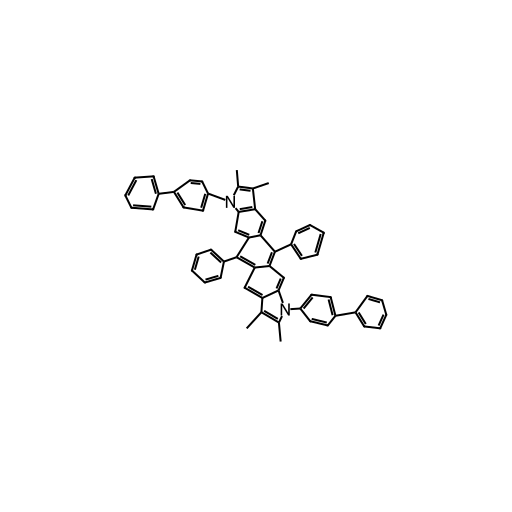 Cc1c(C)n(-c2ccc(-c3ccccc3)cc2)c2cc3c(-c4ccccc4)c4cc5c(C)c(C)n(-c6ccc(-c7ccccc7)cc6)c5cc4c(-c4ccccc4)c3cc12